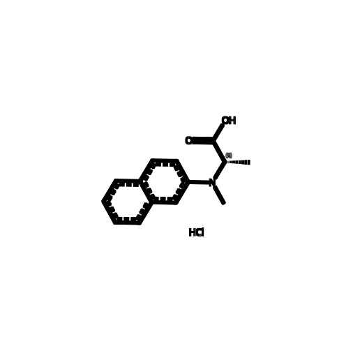 C[C@@H](C(=O)O)N(C)c1ccc2ccccc2c1.Cl